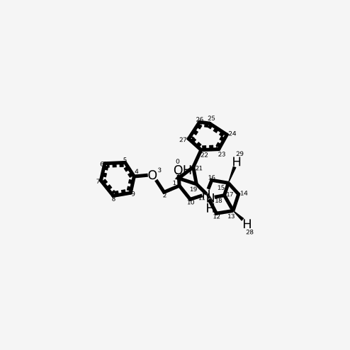 OC(COc1ccccc1)CN1C[C@H]2C[C@@H](C1)C2NC1CC1c1ccccc1